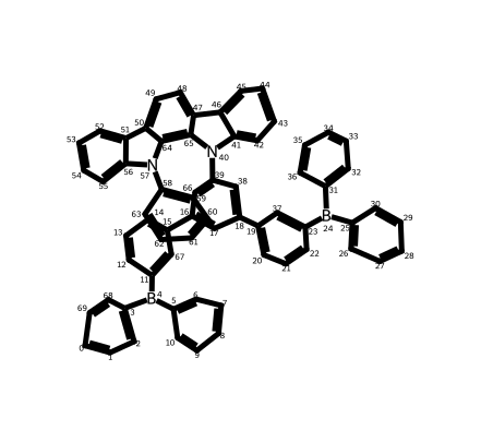 c1ccc(B(c2ccccc2)c2cccc(-c3cc(-c4cccc(B(c5ccccc5)c5ccccc5)c4)cc(-n4c5ccccc5c5ccc6c7ccccc7n(-c7ccccc7)c6c54)c3)c2)cc1